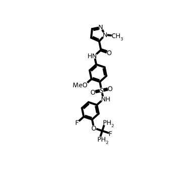 COc1cc(NC(=O)c2ccnn2C)ccc1S(=O)(=O)Nc1ccc(F)c(OC(F)(P)P)c1